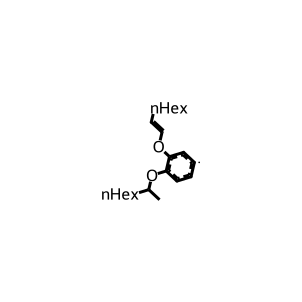 CCCCCCC=COc1c[c]ccc1OC(C)CCCCCC